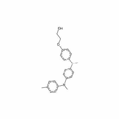 Cc1ccc(N(C)c2ccc(C(C)c3ccc(OCCO)cc3)cc2)cc1